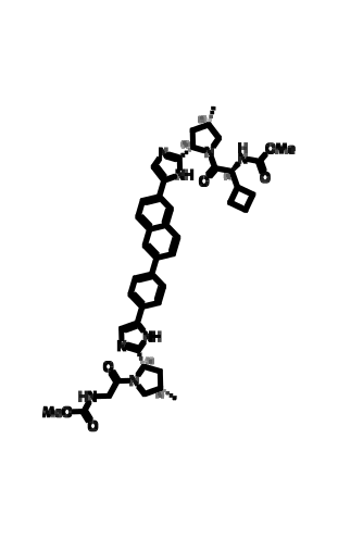 COC(=O)NCC(=O)N1C[C@@H](C)C[C@H]1c1ncc(-c2ccc(-c3ccc4cc(-c5cnc([C@@H]6C[C@H](C)CN6C(=O)[C@@H](NC(=O)OC)C6CCC6)[nH]5)ccc4c3)cc2)[nH]1